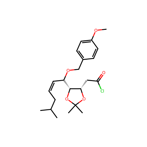 COc1ccc(COC(/C=C\CC(C)C)[C@H]2OC(C)(C)O[C@H]2CC(=O)Cl)cc1